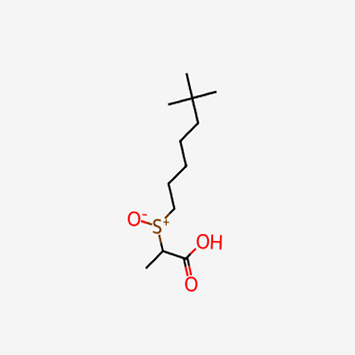 CC(C(=O)O)[S+]([O-])CCCCCC(C)(C)C